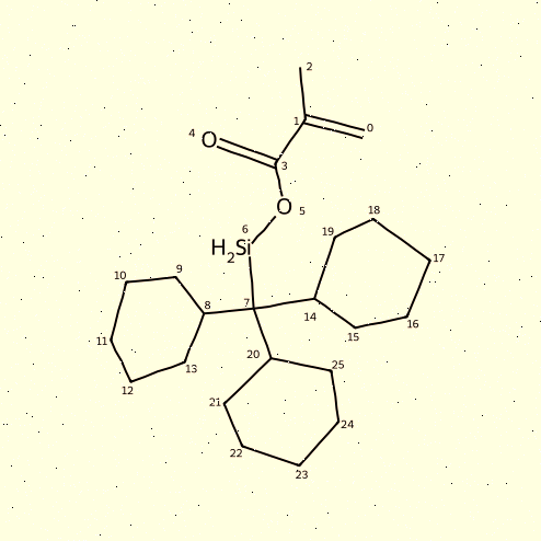 C=C(C)C(=O)O[SiH2]C(C1CCCCC1)(C1CCCCC1)C1CCCCC1